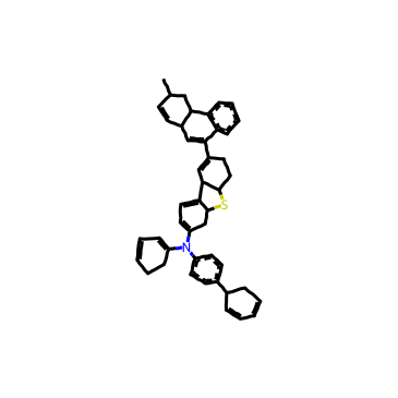 CC1C=CC2C=C(C3=CC4C5=CC=C(N(C6=CC=CCC6)c6ccc(C7C=CC=CC7)cc6)CC5SC4CC3)c3ccccc3C2C1